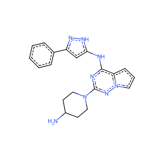 NC1CCN(c2nc(Nc3cc(-c4ccccc4)n[nH]3)c3cccn3n2)CC1